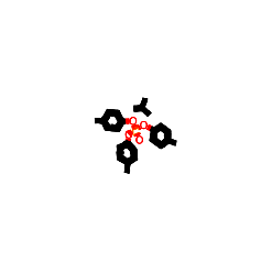 C=C(C)C.Cc1ccc(OP(=O)(Oc2ccc(C)cc2)Oc2ccc(C)cc2)cc1